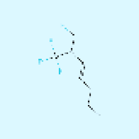 CCCC=CC(CF)C(F)(F)F